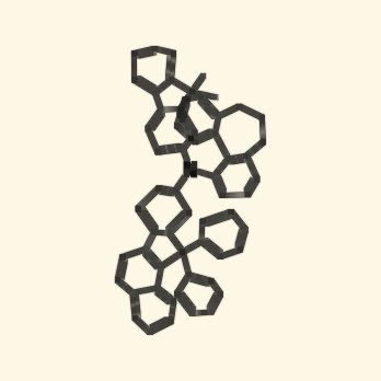 CC1(C)c2ccccc2-c2ccc(N(c3ccc4c(c3)C(c3ccccc3)(c3ccccc3)c3c-4ccc4ccccc34)c3cccc4c3-c3ccccc3CCC4)cc21